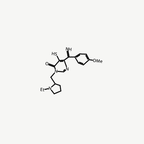 CCN1CCCC1Cn1cnc(C(=N)c2ccc(OC)cc2)c(S)c1=O